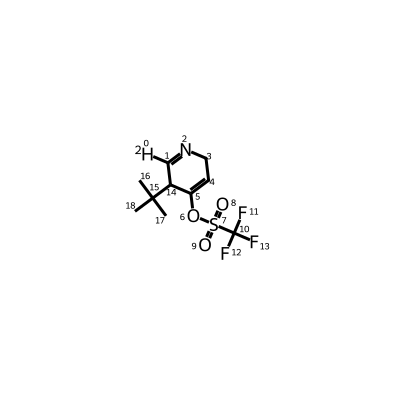 [2H]C1=NCC=C(OS(=O)(=O)C(F)(F)F)C1C(C)(C)C